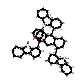 c1ccc(-n2c3ccccc3c3cccc(-c4c5cccc(-c6cccc7c6oc6ccccc67)c5cc5c(-c6cccc7c6oc6ccccc67)cccc45)c32)cc1